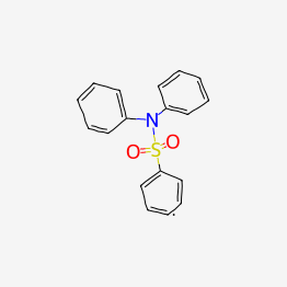 O=S(=O)(c1cc[c]cc1)N(c1ccccc1)c1ccccc1